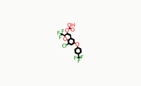 O=C(O)OC1=Cc2cc(Oc3ccc(C(F)(F)F)cc3)cc(Cl)c2OC1C(F)(F)F